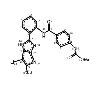 COC(=O)Nc1ccc(C(=O)Nc2ccccc2-c2nn3nc(C(C)(C)C)c(Cl)c3[nH]2)cc1